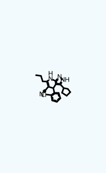 CCCC1=C(C#N)C(c2ccccc2Cl)c2c(n[nH]c2C2CCCC2)N1